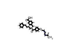 C=C(F)/C=C\C=C/COc1ccc(C(=O)N(CCCCc2ccccc2)Cc2ccc(C(=O)O)cc2)cc1